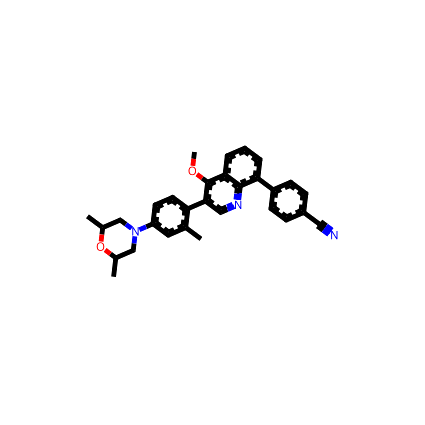 COc1c(-c2ccc(N3CC(C)OC(C)C3)cc2C)cnc2c(-c3ccc(C#N)cc3)cccc12